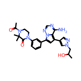 CC(=O)N1CCN(c2cccc(-c3cc(-c4cnn(CC(C)O)c4)c4c(N)ncnn34)c2)C(=O)C1(C)C